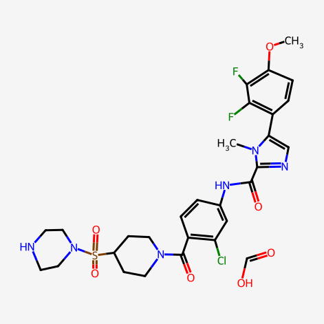 COc1ccc(-c2cnc(C(=O)Nc3ccc(C(=O)N4CCC(S(=O)(=O)N5CCNCC5)CC4)c(Cl)c3)n2C)c(F)c1F.O=CO